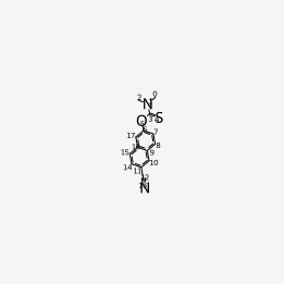 CN(C)C(=S)Oc1ccc2cc(C#N)ccc2c1